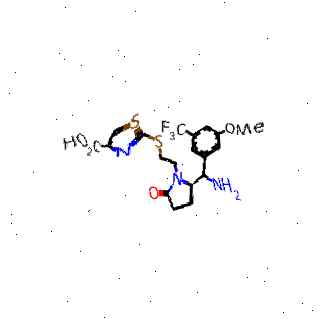 COc1cc(C(N)[C@H]2CCC(=O)N2CCSc2nc(C(=O)O)cs2)cc(C(F)(F)F)c1